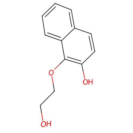 OCCOc1c(O)ccc2ccccc12